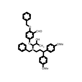 COc1ccc(C(CCN(Cc2ccccc2)C(Oc2ccc(OCc3ccccc3)c(C=O)c2)C(C)O)c2ccc(OC)cc2)cc1